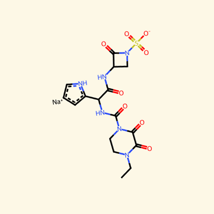 CCN1CCN(C(=O)NC(C(=O)NC2CN(S(=O)(=O)[O-])C2=O)c2ccc[nH]2)C(=O)C1=O.[Na+]